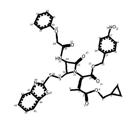 CC(C(=O)OCC1CC1)=C(C(=O)OCc1ccc([N+](=O)[O-])cc1)N1C(=O)C(NC(=O)COc2ccccc2)C1SSc1nc2ccccc2s1